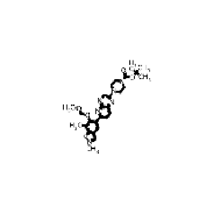 COCOc1c(-c2ccc3nc(N4CCN(C(=O)OC(C)(C)C)CC4)cnc3n2)cc2cn(C)nc2c1C